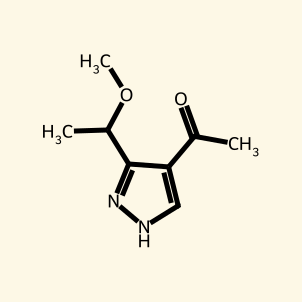 COC(C)c1n[nH]cc1C(C)=O